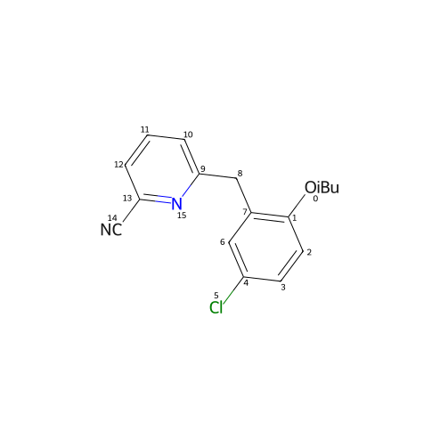 CC(C)COc1ccc(Cl)cc1Cc1cccc(C#N)n1